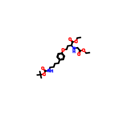 CCOC(=O)CNC(CCOc1ccc(CCCCNC(=O)OC(C)(C)C)cc1)C(=O)OCC